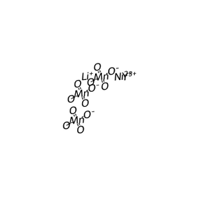 [Li+].[Ni+2].[O]=[Mn](=[O])([O-])[O-].[O]=[Mn](=[O])([O-])[O-].[O]=[Mn](=[O])([O-])[O-].[Y+3]